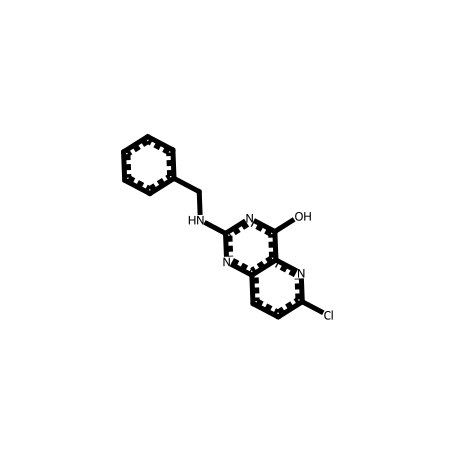 Oc1nc(NCc2ccccc2)nc2ccc(Cl)nc12